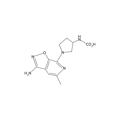 Cc1cc2c(N)noc2c(N2CCC(NC(=O)O)C2)n1